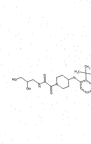 CC(C)(C)c1ccccc1OC1CCN(C(=O)C(=O)NCC(O)CO)CC1